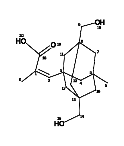 CC(=CC12CC3(C)CC(CO)(C1)CC(CO)(C3)C2)C(=O)O